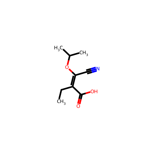 CCC(C(=O)O)=C(C#N)OC(C)C